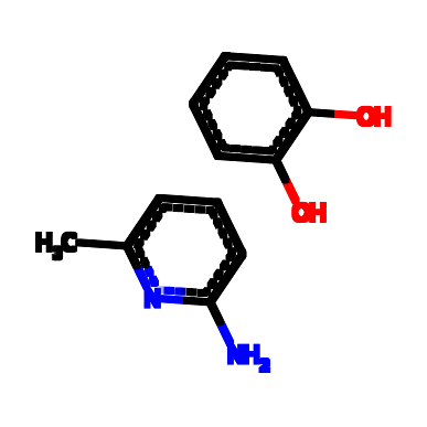 Cc1cccc(N)n1.Oc1ccccc1O